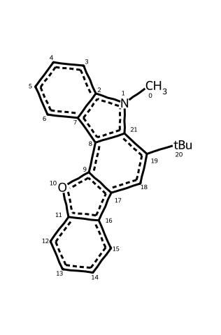 Cn1c2ccccc2c2c3oc4ccccc4c3cc(C(C)(C)C)c21